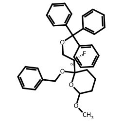 COC1CCCC(OCc2ccccc2)([C@@H](F)COC(c2ccccc2)(c2ccccc2)c2ccccc2)O1